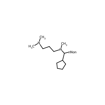 CCCCCCCCCC(C1CCCC1)N(C)CCCN(C)C